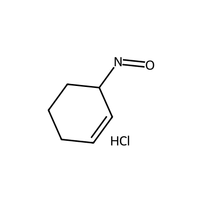 Cl.O=NC1C=CCCC1